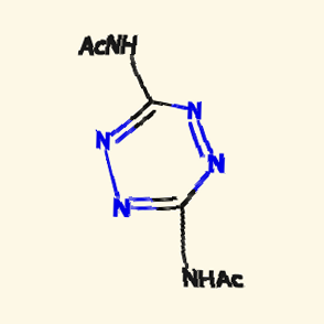 CC(=O)Nc1nnc(NC(C)=O)nn1